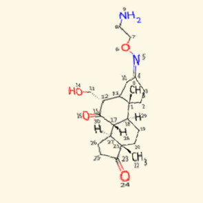 C[C@]12CC/C(=N/OCCN)CC1[C@@H](CO)C(=O)[C@@H]1[C@@H]2CC[C@]2(C)C(=O)CC[C@@H]12